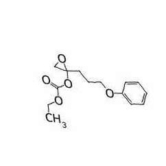 CCOC(=O)OC1(CCCOc2ccccc2)CO1